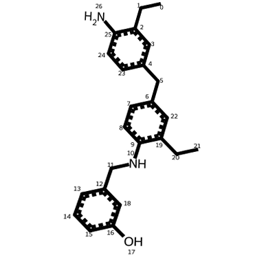 CCc1cc(Cc2ccc(NCc3cccc(O)c3)c(CC)c2)ccc1N